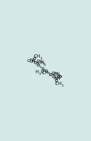 Cc1ccc(N(C2=CCC3C=CC=CC3=N2)c2ccc3c(c2)C(C)(C)c2cc(/C=C/c4ccc5c(c4)C(C)(C)c4cc(/C=C/c6ccc7c(c6)C(C)(C)c6cc(N(c8ccc(C)cc8)c8ccc9ccccc9n8)ccc6-7)ccc4-5)ccc2-3)cc1